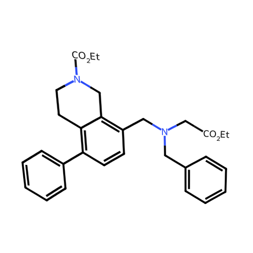 CCOC(=O)CN(Cc1ccccc1)Cc1ccc(-c2ccccc2)c2c1CN(C(=O)OCC)CC2